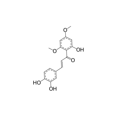 COc1cc(O)c(C(=O)C=Cc2ccc(O)c(O)c2)c(OC)c1